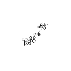 CCC(C)(C)NC(=O)[C@H](CCCCNC(=O)COc1cccc2c1C(=O)N(C1CCC(=O)NC1=O)C2=O)NC(C)(C)CC